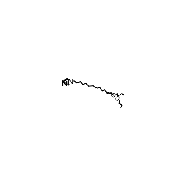 CCCCOC(CC)COCCCCCCCCCCCCCn1ccnc1